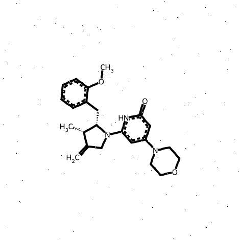 C=C1CN(c2cc(N3CCOCC3)cc(=O)[nH]2)[C@@H](Cc2ccccc2OC)[C@H]1C